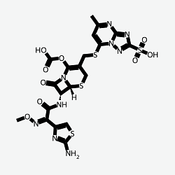 CO/N=C(\C(=O)N[C@@H]1C(=O)N2C(OC(=O)O)=C(CSc3cc(C)nc4nc(S(=O)(=O)O)nn34)CS[C@H]12)c1csc(N)n1